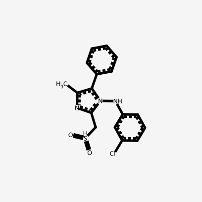 Cc1nc(C[SH](=O)=O)n(Nc2cccc(Cl)c2)c1-c1ccccc1